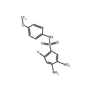 Nc1cc(F)c(S(=O)(=O)Nc2ccc(OC(F)(F)F)cc2)cc1[N+](=O)[O-]